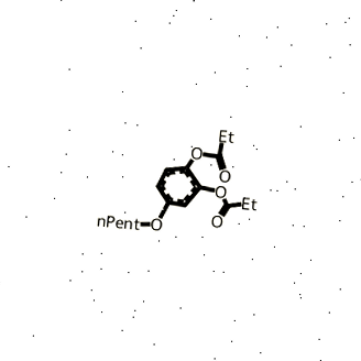 CCCCCOc1ccc(OC(=O)CC)c(OC(=O)CC)c1